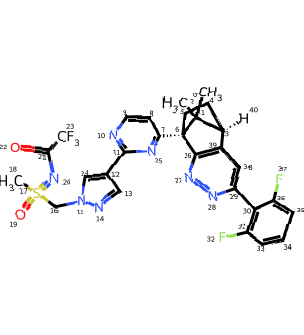 CC1(C)[C@H]2CC[C@]1(c1ccnc(-c3cnn(CS(C)(=O)=NC(=O)C(F)(F)F)c3)n1)c1nnc(-c3c(F)cccc3F)cc12